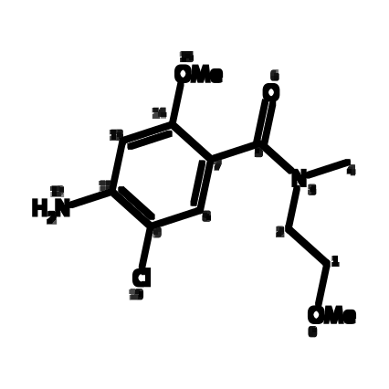 COCCN(C)C(=O)c1cc(Cl)c(N)cc1OC